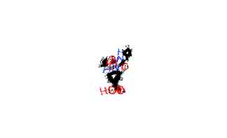 CC(C)(C)OC(=O)N[C@@H](Cc1ccccc1)C(=O)Nc1ccc(C(=O)O)cc1